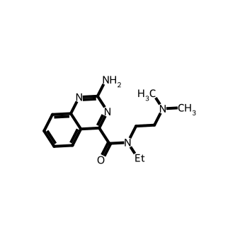 CCN(CCN(C)C)C(=O)c1nc(N)nc2ccccc12